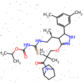 Cc1cc(C)cc(C2NN=C(OCC(C)(C)C(=O)N3C4CCC3CC4)C2[C@H](C)CNC(=S)NC(=O)OC(C)C)c1